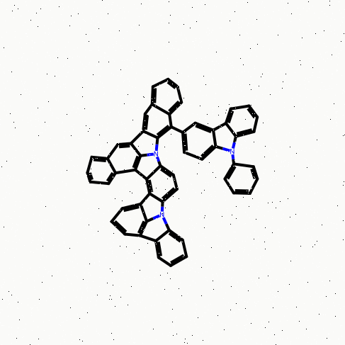 c1ccc(-n2c3ccccc3c3cc(-c4c5ccccc5cc5c6cc7ccccc7c7c8c9c%10cccc%11c%12ccccc%12n(c9ccc8n(c45)c67)c%11%10)ccc32)cc1